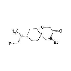 CCN1C[C@]2(CC[C@@H](N(C)CC(C)C)CC2)OCC1=O